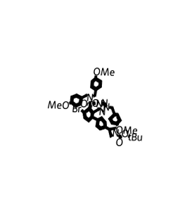 COc1ccc(CN(Cc2ccc(OC)cc2)S(=O)(=O)c2c(Br)ccc(-c3ccc(C4CN(C(=O)OC(C)(C)C)C4)cc3)c2-c2nnn(Cc3ccc(OC)cc3)n2)cc1